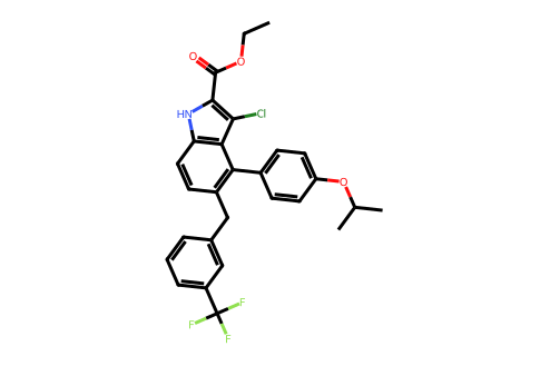 CCOC(=O)c1[nH]c2ccc(Cc3cccc(C(F)(F)F)c3)c(-c3ccc(OC(C)C)cc3)c2c1Cl